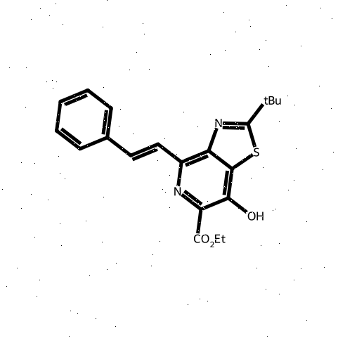 CCOC(=O)c1nc(C=Cc2ccccc2)c2nc(C(C)(C)C)sc2c1O